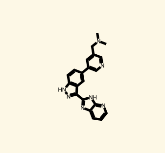 CN(C)Cc1cncc(-c2ccc3[nH]nc(-c4nc5cccnc5[nH]4)c3c2)c1